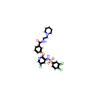 O=C(NCCN1CCCCC1)c1cccc(Oc2ncc(Cl)cc2NS(=O)(=O)c2ccc(Cl)c(Cl)c2)c1